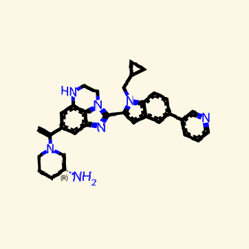 C=C(c1cc2c3c(c1)nc(-c1cc4cc(-c5cccnc5)ccc4n1CC1CC1)n3CCN2)N1CCC[C@@H](N)C1